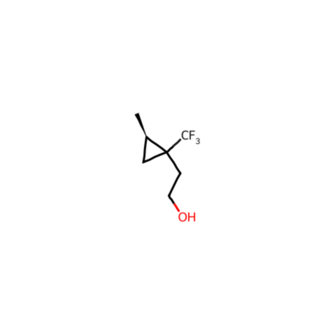 C[C@@H]1CC1(CCO)C(F)(F)F